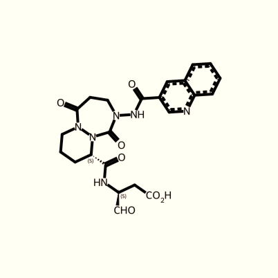 O=C[C@H](CC(=O)O)NC(=O)[C@@H]1CCCN2C(=O)CCN(NC(=O)c3cnc4ccccc4c3)C(=O)N12